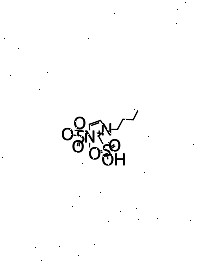 CCCCN1C=C[N+](C)(S(=O)(=O)[O-])C1S(=O)(=O)O